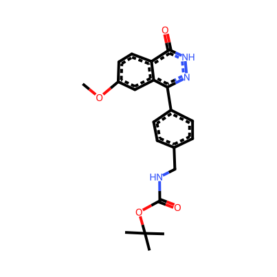 COc1ccc2c(=O)[nH]nc(-c3ccc(CNC(=O)OC(C)(C)C)cc3)c2c1